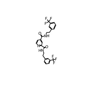 O=C(NCCc1cccc(C(F)(F)F)c1)c1ccnc(C(=O)NCCc2cccc(C(F)(F)F)c2)c1